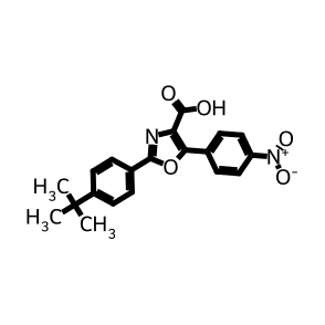 CC(C)(C)c1ccc(-c2nc(C(=O)O)c(-c3ccc([N+](=O)[O-])cc3)o2)cc1